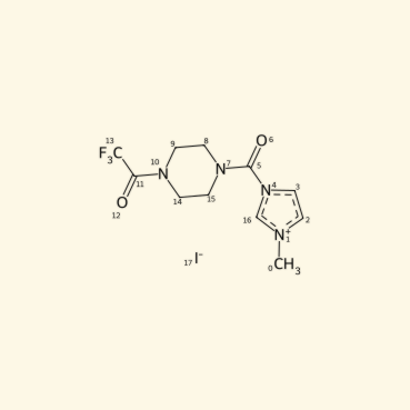 C[n+]1ccn(C(=O)N2CCN(C(=O)C(F)(F)F)CC2)c1.[I-]